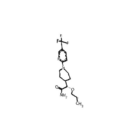 C[CH]CO[C@H](C(N)=O)C1CCN(c2ccc(C(F)(F)F)cn2)CC1